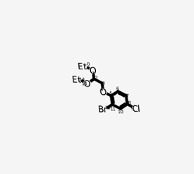 CCOC(COc1ccc(Cl)cc1Br)OCC